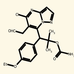 CCOc1ccc(C(c2c(CC=O)c(Cl)nc3ccnn23)C(C)(C)OC(N)=O)cc1